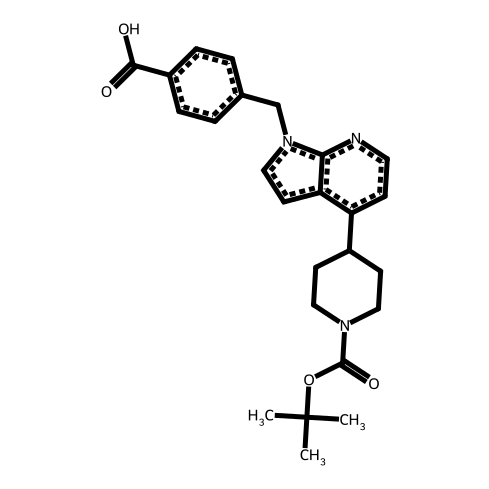 CC(C)(C)OC(=O)N1CCC(c2ccnc3c2ccn3Cc2ccc(C(=O)O)cc2)CC1